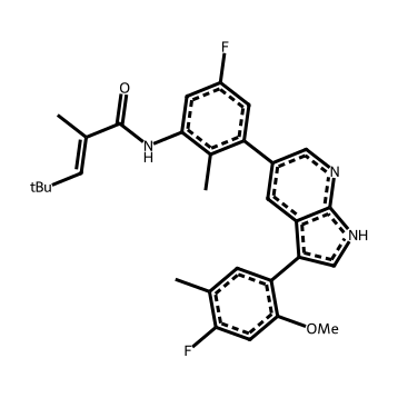 COc1cc(F)c(C)cc1-c1c[nH]c2ncc(-c3cc(F)cc(NC(=O)C(C)=CC(C)(C)C)c3C)cc12